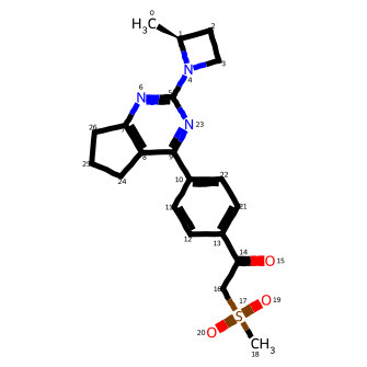 C[C@H]1CCN1c1nc2c(c(-c3ccc(C(=O)CS(C)(=O)=O)cc3)n1)CCC2